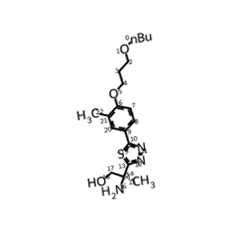 CCCCOCCCOc1ccc(-c2nnc([C@@](C)(N)CO)s2)cc1C